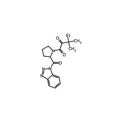 CCC(C)(C)C(=O)C(=O)N1CCCC1C(=O)n1nnc2ccccc21